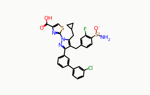 N[S+]([O-])c1ccc(Cc2c(-c3cccc(-c4cccc(Cl)c4)c3)nn(-c3nc(C(=O)O)cs3)c2CC2CC2)cc1F